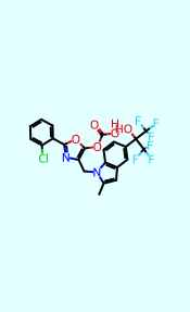 Cc1cc2cc(C(O)(C(F)(F)F)C(F)(F)F)ccc2n1Cc1nc(-c2ccccc2Cl)oc1OC(=O)O